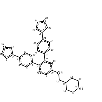 c1cc(-c2ccc(-c3ncc(OCC4CCNCC4)nc3-c3ccc(-c4ccoc4)cc3)cc2)co1